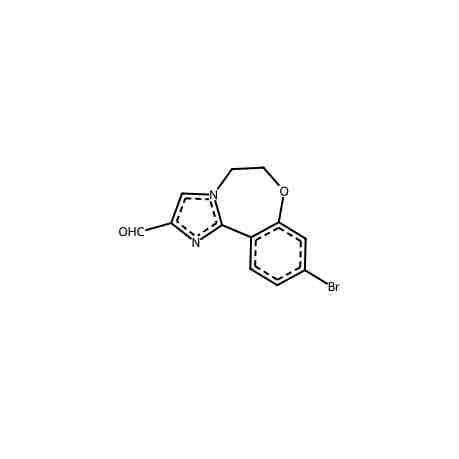 O=Cc1cn2c(n1)-c1ccc(Br)cc1OCC2